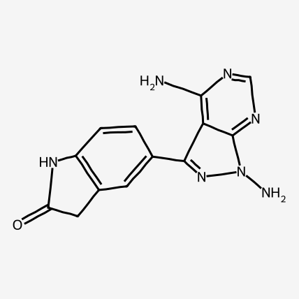 Nc1ncnc2c1c(-c1ccc3c(c1)CC(=O)N3)nn2N